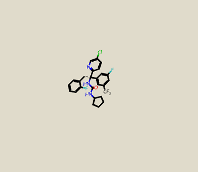 O=C(NC1CCCC1)N[C@](Cc1ccccc1F)(c1cc(F)cc(C(F)(F)F)c1)c1ccc(Cl)cn1